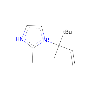 C=CC(C)([n+]1cc[nH]c1C)C(C)(C)C